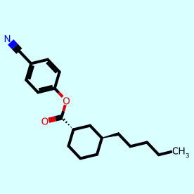 CCCCC[C@H]1CCC[C@H](C(=O)Oc2ccc(C#N)cc2)C1